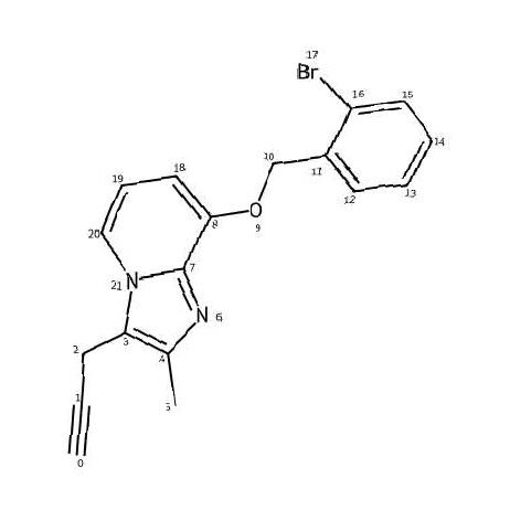 C#CCc1c(C)nc2c(OCc3ccccc3Br)cccn12